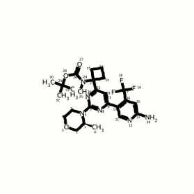 C[C@H]1COCCN1c1nc(-c2cnc(N)cc2C(F)(F)F)cc(C2(N(C)C(=O)OC(C)(C)C)CCC2)n1